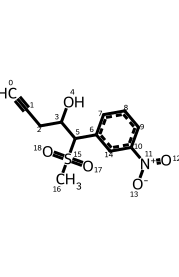 C#CCC(O)C(c1cccc([N+](=O)[O-])c1)S(C)(=O)=O